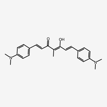 C/C(C(=O)/C=C/c1ccc(N(C)C)cc1)=C(O)\C=C\c1ccc(N(C)C)cc1